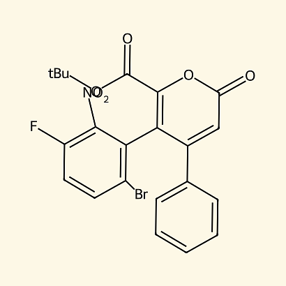 CC(C)(C)OC(=O)c1oc(=O)cc(-c2ccccc2)c1-c1c(Br)ccc(F)c1[N+](=O)[O-]